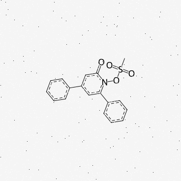 CS(=O)(=O)On1c(-c2ccccc2)cc(-c2ccccc2)cc1=O